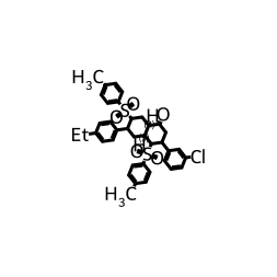 CCc1ccc(C2C[C@@H]3C(S(=O)(=O)c4ccc(C)cc4)C(c4cccc(Cl)c4)CC(=O)[C@@H]3CC2S(=O)(=O)c2ccc(C)cc2)cc1